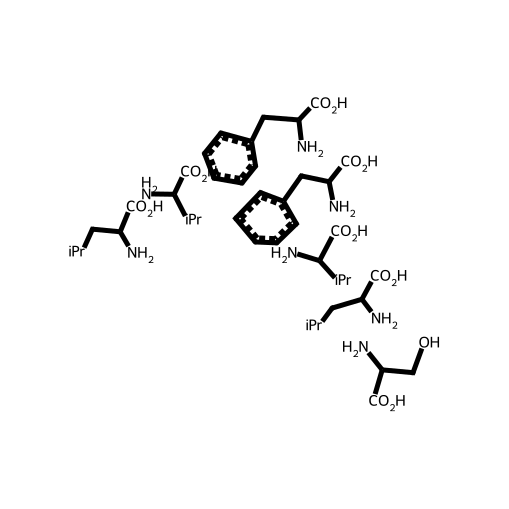 CC(C)C(N)C(=O)O.CC(C)C(N)C(=O)O.CC(C)CC(N)C(=O)O.CC(C)CC(N)C(=O)O.NC(CO)C(=O)O.NC(Cc1ccccc1)C(=O)O.NC(Cc1ccccc1)C(=O)O